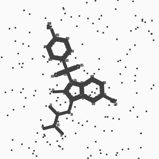 Cc1c(SC(C)N(C)C)c2cc(Br)ccc2n1S(=O)(=O)c1ccc(Br)cc1